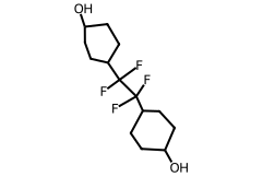 OC1CCC(C(F)(F)C(F)(F)C2CCC(O)CC2)CC1